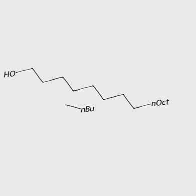 CCCCC.CCCCCCCCCCCCCCCCO